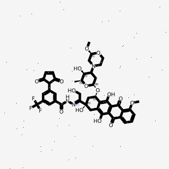 COc1cccc2c1C(=O)c1c(O)c3c(c(O)c1C2=O)C[C@@](O)(/C(CO)=N/NC(=O)c1cc(C2C(=O)C=CC2=O)cc(C(F)(F)F)c1)C[C@@H]3O[C@H]1CC(N2CCO[C@H](OC)C2)[C@H](O)[C@H](C)O1